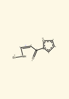 CCN/C=C\C(=O)c1ccco1